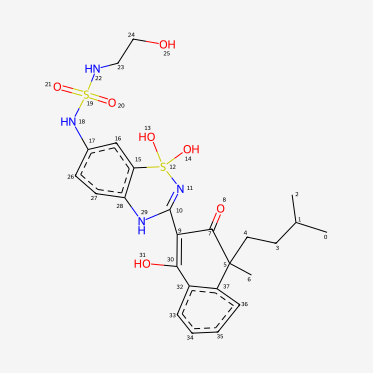 CC(C)CCC1(C)C(=O)C(C2=NS(O)(O)c3cc(NS(=O)(=O)NCCO)ccc3N2)=C(O)c2ccccc21